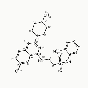 Cc1ccccc1NS(=O)(=O)CCNc1nc(N2CCN(C)CC2)nc2cnc(Cl)cc12